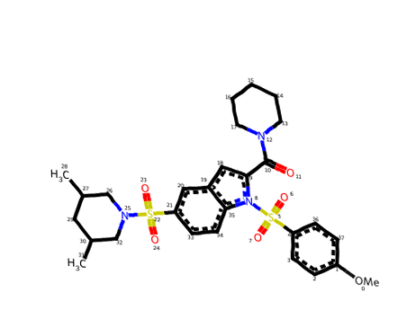 COc1ccc(S(=O)(=O)n2c(C(=O)N3CCCCC3)cc3cc(S(=O)(=O)N4CC(C)CC(C)C4)ccc32)cc1